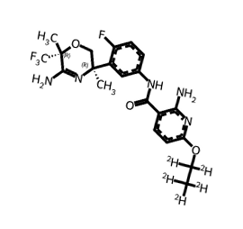 [2H]C([2H])([2H])C([2H])([2H])Oc1ccc(C(=O)Nc2ccc(F)c([C@]3(C)CO[C@@](C)(C(F)(F)F)C(N)=N3)c2)c(N)n1